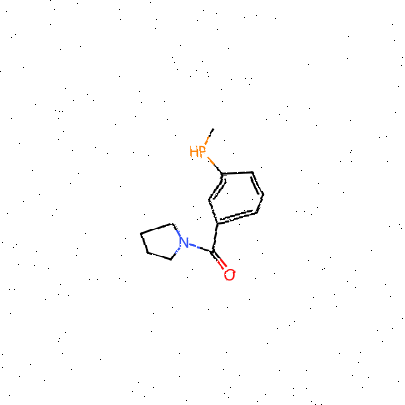 CPc1cccc(C(=O)N2CCCC2)c1